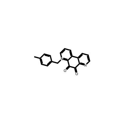 Cc1ccc(C[n+]2cccc3c2C(=O)C(=O)c2ncccc2-3)cc1